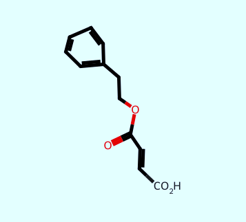 O=C(O)C=CC(=O)OCCc1ccccc1